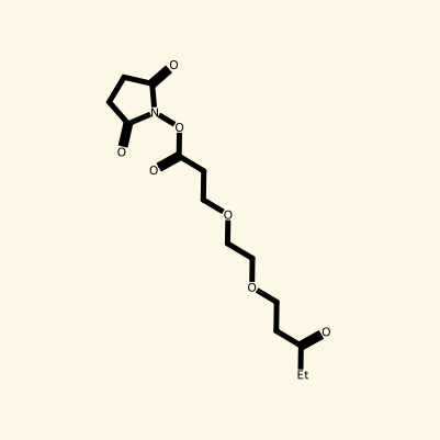 CCC(=O)CCOCCOCCC(=O)ON1C(=O)CCC1=O